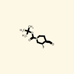 CC(C)(C)OC(=O)N1CCC(=C=O)[C@H](F)C1